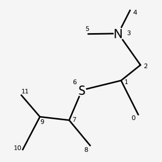 CC(CN(C)C)SC(C)C(C)C